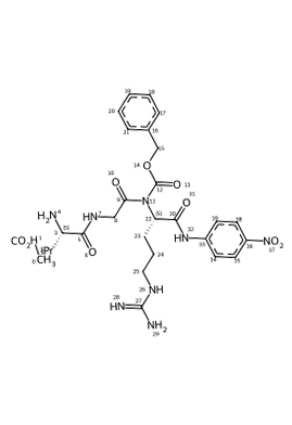 CC(=O)O.CC(C)[C@H](N)C(=O)NCC(=O)N(C(=O)OCc1ccccc1)[C@@H](CCCNC(=N)N)C(=O)Nc1ccc([N+](=O)[O-])cc1